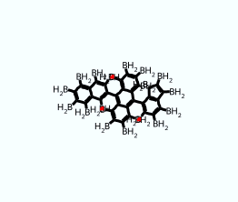 BC1=C(B)C(B)c2c1c(B)c(B)c(B)c2-c1c2c(B)c(B)c(B)c(B)c2c(-c2c(B)c(B)c3c(B)c(B)c(B)c(B)c3c2B)c2c(B)c(B)c(B)c(B)c12